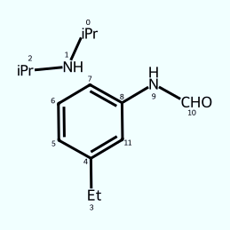 CC(C)NC(C)C.CCc1cccc(NC=O)c1